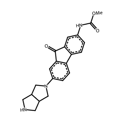 COC(=O)Nc1ccc2c(c1)C(=O)c1cc(N3CC4CNCC4C3)ccc1-2